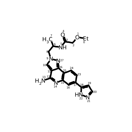 CCOCC(=O)NC(C)Cn1cc2c(N)nc3cc(-c4ccn[nH]4)ccc3c2n1